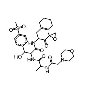 CC(NC(=O)CN1CCOCC1)C(=O)NC(C(=O)NC(CC1=CCCCC1)C(=O)C1(C)CO1)C(O)c1ccc(S(C)(=O)=O)cc1